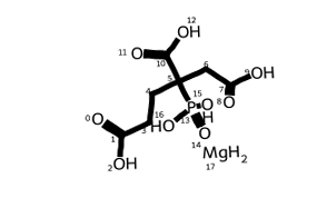 O=C(O)CCC(CC(=O)O)(C(=O)O)P(=O)(O)O.[MgH2]